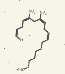 CC/C=C\C/C=C(\C/C(=C\C/C=C\CCCCCC[C]=O)[N+](=O)[O-])[N+](=O)[O-]